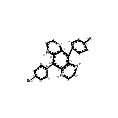 Brc1ccc(-c2c3nccnc3c(-c3ccc(Br)cc3)c3nccnc23)cc1